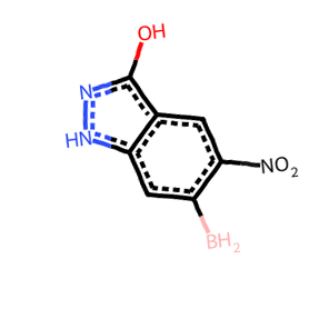 Bc1cc2[nH]nc(O)c2cc1[N+](=O)[O-]